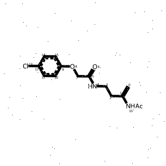 C=C(CCNC(=O)COc1ccc(Cl)cc1)NC(C)=O